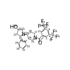 O=C(c1cc(C(F)(F)F)cc(C(F)(F)F)c1)N1CC[C@H](N2CC[C@@H](O)C2)[C@@H](c2ccccc2)C1